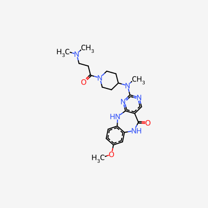 COc1ccc2c(c1)NC(=O)c1cnc(N(C)C3CCN(C(=O)CCN(C)C)CC3)nc1N2